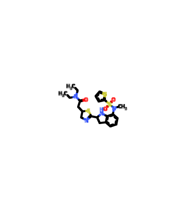 CCN(CC)C(=O)CC1CN=C(C2Cc3cccc(N(C)S(=O)(=O)c4cccs4)c3N2)S1